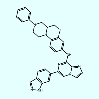 c1ccc(N2CCN3c4ccc(Nc5nc(-c6ccc7cn[nH]c7c6)cn6ccnc56)cc4OCC3C2)cc1